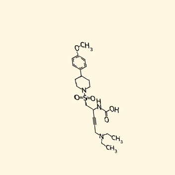 CCN(CC)CC#CC(CS(=O)(=O)N1CCC(c2ccc(OC)cc2)CC1)NC(=O)O